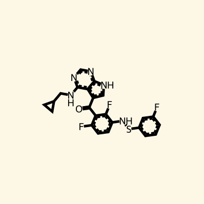 O=C(c1c(F)ccc(NSc2cccc(F)c2)c1F)c1c[nH]c2ncnc(NCC3CC3)c12